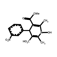 COC(=O)C1=C(C)N(O)C(C)=C(C(=O)O)C1c1cccc([N+](=O)[O-])c1